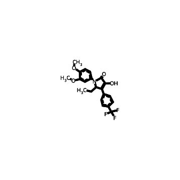 CCC1C(c2ccc(C(F)(F)F)cc2)=C(O)C(=O)N1c1ccc(OC)c(OC)c1